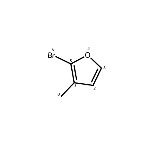 Cc1ccoc1Br